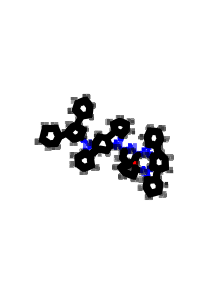 C1=c2c(n(-c3cc(-c4ccccc4)cc(-c4ccccc4)c3)c3ccccc23)=CC2c3ccccc3N(c3cccc(-n4c5ccccc5c5ccc6c7ccccc7n(-c7ccccc7)c6c54)n3)C12